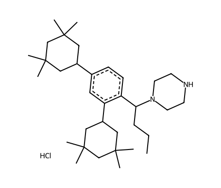 CCCC(c1ccc(C2CC(C)(C)CC(C)(C)C2)cc1C1CC(C)(C)CC(C)(C)C1)N1CCNCC1.Cl